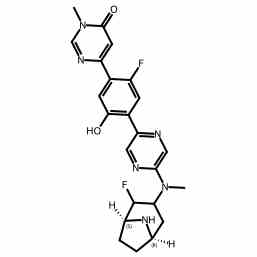 CN(c1cnc(-c2cc(F)c(-c3cc(=O)n(C)cn3)cc2O)cn1)C1C[C@H]2CC[C@H](N2)C1F